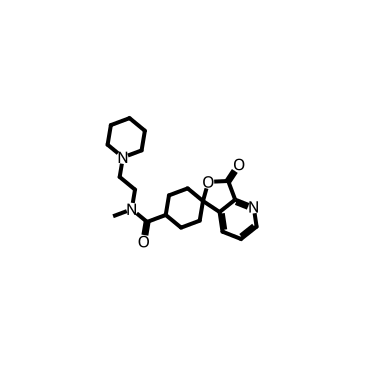 CN(CCN1CCCCC1)C(=O)C1CCC2(CC1)OC(=O)c1ncccc12